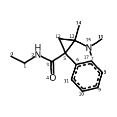 CCNC(=O)C1(c2ccccc2)CC1(C)N(C)C